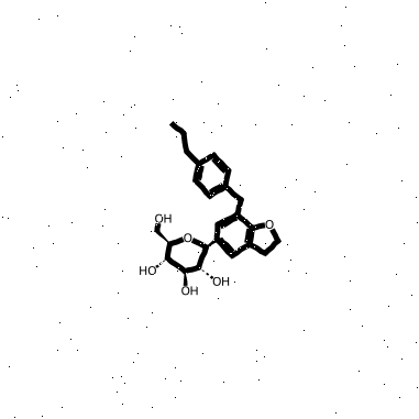 CCCc1ccc(Cc2cc([C@@H]3O[C@H](CO)[C@@H](O)[C@H](O)[C@H]3O)cc3c2OCC3)cc1